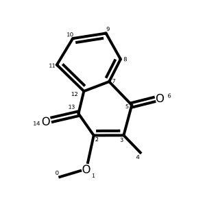 COC1=C(C)C(=O)c2ccccc2C1=O